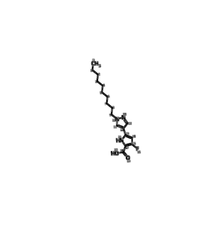 CCCCCCCCCCn1cc(-c2cc(F)c(C(=O)O)[nH]2)cn1